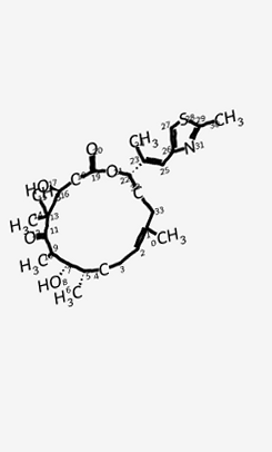 C/C1=C/CC[C@H](C)[C@H](O)[C@@H](C)C(=O)C(C)(C)[C@@H](O)CC(=O)O[C@H](/C(C)=C/c2csc(C)n2)CC1